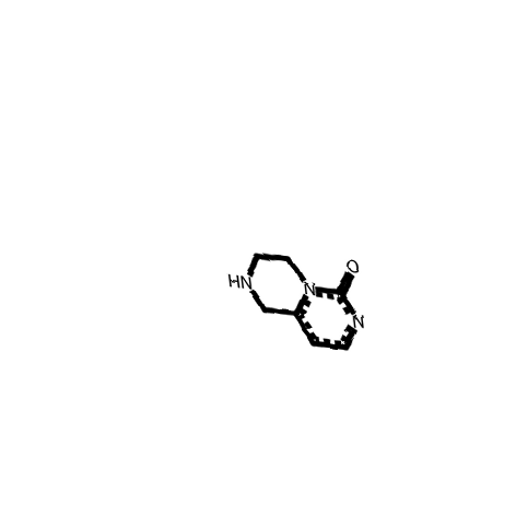 O=c1nccc2n1CCNC2